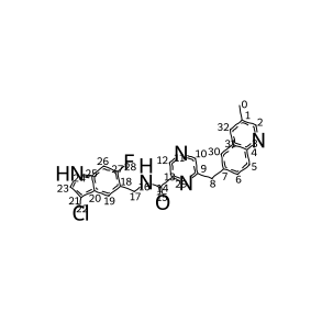 Cc1cnc2ccc(Cc3cncc(C(=O)NCc4cc5c(Cl)c[nH]c5cc4F)n3)cc2c1